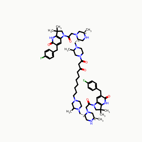 CC1CN(CCCCCCCC(=O)CC(=O)N2CCN(C[C@H]3CN[C@H](C)CN3CC(=O)N3CC(C)(C)c4[nH]c(=O)c(Cc5ccc(F)cc5)cc43)C(C)C2)CCN1C[C@H]1CN[C@H](C)CN1CC(=O)N1CC(C)(C)c2[nH]c(=O)c(Cc3ccc(F)cc3)cc21